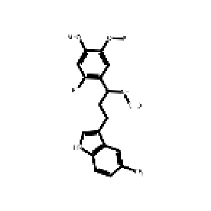 CCOc1cc(C(CCc2c[nH]c3ccc(C(F)(F)F)cc23)NC=O)c(CC)cc1OC